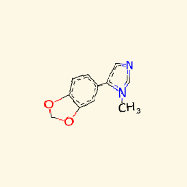 Cn1cncc1-c1ccc2c(c1)OCO2